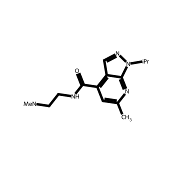 CNCCNC(=O)c1cc(C)nc2c1cnn2C(C)C